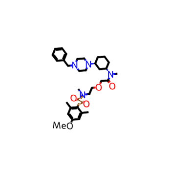 COc1cc(C)c(S(=O)(=O)N(C)CCOCC(=O)N(C)[C@@H]2CCC[C@H](N3CCN(Cc4ccccc4)CC3)C2)c(C)c1